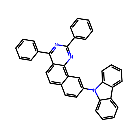 c1ccc(-c2nc(-c3ccccc3)c3ccc4ccc(-n5c6ccccc6c6ccccc65)cc4c3n2)cc1